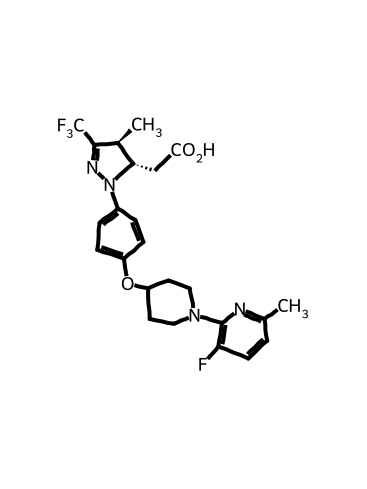 Cc1ccc(F)c(N2CCC(Oc3ccc(N4N=C(C(F)(F)F)[C@@H](C)[C@@H]4CC(=O)O)cc3)CC2)n1